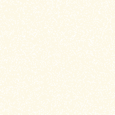 CCCc1[c]cc(-c2cccc(F)c2)cc1